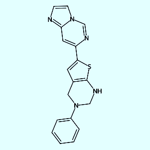 c1ccc(N2CNc3sc(-c4cc5nccn5cn4)cc3C2)cc1